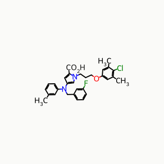 Cc1cccc(N(Cc2cccc(F)c2)c2cc(C(=O)O)n(CCCOc3cc(C)c(Cl)c(C)c3)c2)c1